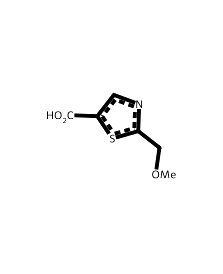 COCc1ncc(C(=O)O)s1